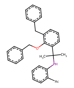 CC(=O)c1ccccc1PC(C)(C)c1cccc(Cc2ccccc2)c1OCc1ccccc1